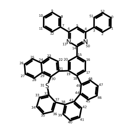 c1ccc(-c2cc(-c3ccccc3)nc(-c3ccc4c(c3)-c3ccc5ccccc5c3Sc3ccccc3-c3ccccc3-c3ccccc3-4)n2)cc1